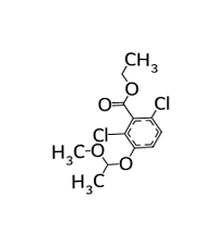 CCOC(=O)c1c(Cl)ccc(OC(C)OC)c1Cl